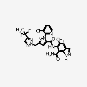 Cc1cc2cn[nH]c2c(C(N)=O)c1NC(=O)c1cc(Cn2ncc(C(C)(F)F)n2)nn1-c1ncccc1Cl